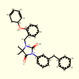 CC1(C)C(=O)N(c2cccc(Cc3ccccc3)c2)C(=O)N1Cc1ccccc1OC1C=CC=CC1